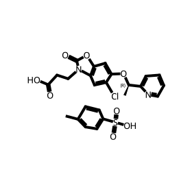 C[C@@H](Oc1cc2oc(=O)n(CCC(=O)O)c2cc1Cl)c1ccccn1.Cc1ccc(S(=O)(=O)O)cc1